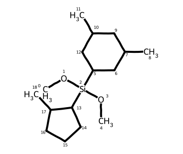 CO[Si](OC)(C1CC(C)CC(C)C1)C1CCCC1C